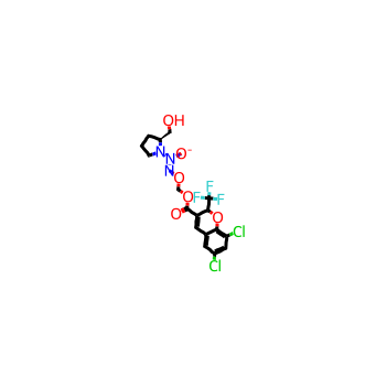 O=C(OCO/N=[N+](\[O-])N1CCC[C@H]1CO)C1=Cc2cc(Cl)cc(Cl)c2OC1C(F)(F)F